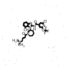 Cc1cccc2nc(NC(=O)c3cc(Cl)nc(OC(F)(F)F)c3)n(C3CCCCN(C(=O)/C=C/CN(C)C)C3)c12